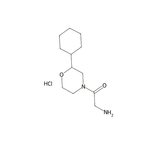 Cl.NCC(=O)N1CCOC(C2CCCCC2)C1